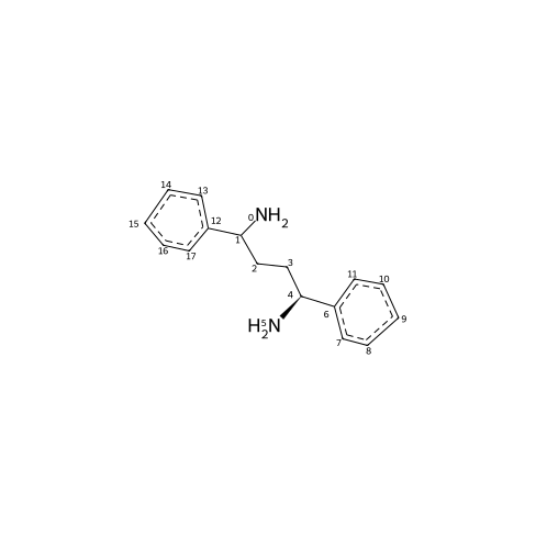 NC(CC[C@H](N)c1ccccc1)c1ccccc1